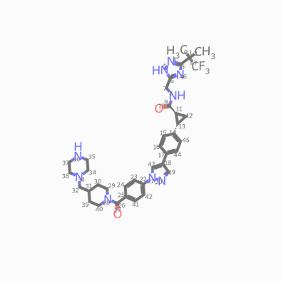 CC(C)(c1n[nH]c(CNC(=O)[C@H]2C[C@@H]2c2ccc(-c3cnn(-c4ccc(C(=O)N5CCC(CN6CCNCC6)CC5)cc4)c3)cc2)n1)C(F)(F)F